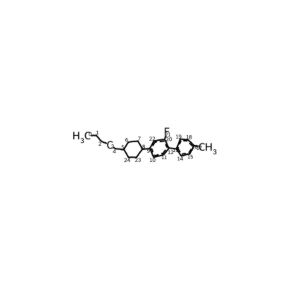 CCCCCC1CCC(c2ccc(-c3ccc(C)cc3)c(F)c2)CC1